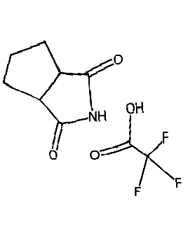 O=C(O)C(F)(F)F.O=C1NC(=O)C2CCCC12